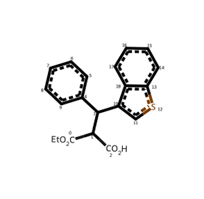 CCOC(=O)C(C(=O)O)C(c1ccccc1)c1csc2ccccc12